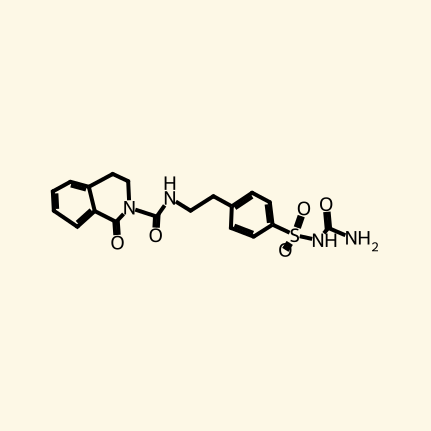 NC(=O)NS(=O)(=O)c1ccc(CCNC(=O)N2CCc3ccccc3C2=O)cc1